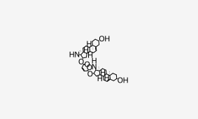 CNC1C(OC(=O)/C=C\C(=O)OC2C[C@H]3[C@@H]4CC=C5CC(O)CC[C@]5(C)[C@@H]4CC[C@]3(C)C2NC)C[C@H]2[C@@H]3CC=C4CC(O)CC[C@]4(C)[C@@H]3CC[C@]12C